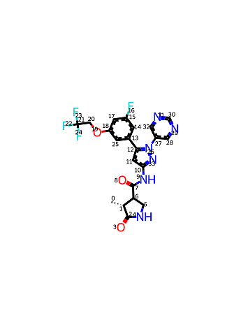 C[C@H]1C(=O)NCC1C(=O)Nc1cc(-c2cc(F)cc(OCC(F)(F)F)c2)n(-c2cncnc2)n1